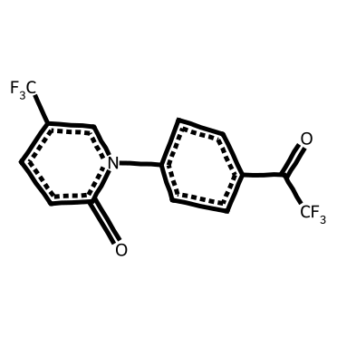 O=C(c1ccc(-n2cc(C(F)(F)F)ccc2=O)cc1)C(F)(F)F